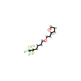 FC(F)(F)C(F)(F)CCCCOCCC1CCCO1